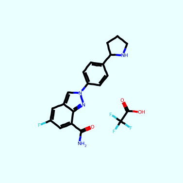 NC(=O)c1cc(F)cc2cn(-c3ccc(C4CCCN4)cc3)nc12.O=C(O)C(F)(F)F